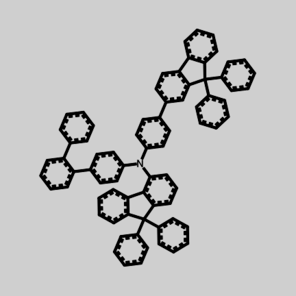 c1ccc(-c2ccccc2-c2ccc(N(c3ccc(-c4ccc5c(c4)C(c4ccccc4)(c4ccccc4)c4ccccc4-5)cc3)c3cccc4c3-c3ccccc3C4(c3ccccc3)c3ccccc3)cc2)cc1